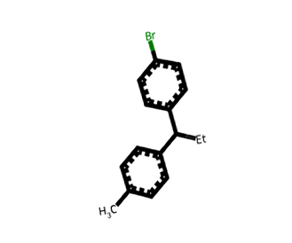 [CH2]CC(c1ccc(C)cc1)c1ccc(Br)cc1